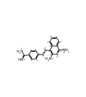 N=C(N)c1ccc(/N=N/c2c(N)nc(N)c3ccccc23)cc1